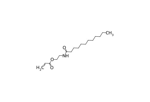 C=CC(=O)OCCNC(=O)CCCCCCCCCCC